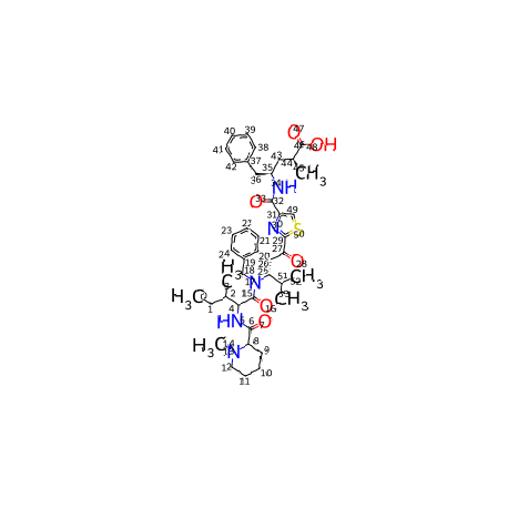 CCC(C)C(NC(=O)C1CCCCN1C)C(=O)N(Cc1ccccc1)[C@H](CC(=O)c1nc(C(=O)N[C@@H](Cc2ccccc2)C[C@H](C)C(=O)O)cs1)C(C)C